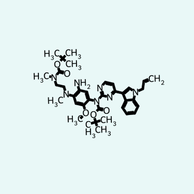 C=CCn1cc(-c2ccnc(N(C(=O)OC(C)(C)C)c3cc(N)c(N(C)CCN(C)C(=O)OC(C)(C)C)cc3OC)n2)c2ccccc21